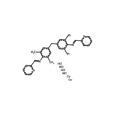 Cc1cc(Cc2cc(C(C)C)c(N=Cc3ccccn3)c(C(C)C)c2)cc(C)c1N=Cc1ccccn1.Cl.Cl.Cl.Cl.[Cu].[Cu]